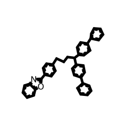 c1ccc(-c2ccc(C(CCCc3ccc(-c4nc5ccccc5o4)cc3)c3ccc(-c4ccccc4)cc3)cc2)cc1